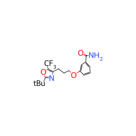 CC(C)(C)c1nc(CCCOc2cccc(C(N)=O)c2)c(C(F)(F)F)o1